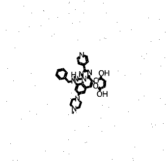 CN1CCN(c2cc3c(c(NCc4ccccc4)c2)[N+]2(C#N)N=C(c4ccncc4)N=C2C=C3)CC1.O=C(O)/C=C\C(=O)O